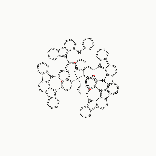 c1ccc(-n2c3ccccc3c3ccc4c5ccccc5n(-c5ccc(C(c6ccc(-n7c8ccccc8c8ccc9c%10ccccc%10n(-c%10ccccc%10)c9c87)cc6)(c6ccc(-n7c8ccccc8c8ccc9c%10ccccc%10n(-c%10ccccc%10)c9c87)cc6)c6ccc(-n7c8ccccc8c8ccc9c%10ccccc%10n(-c%10ccccc%10)c9c87)cc6)cc5)c4c32)cc1